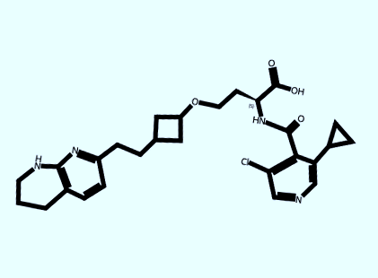 O=C(N[C@@H](CCOC1CC(CCc2ccc3c(n2)NCCC3)C1)C(=O)O)c1c(Cl)cncc1C1CC1